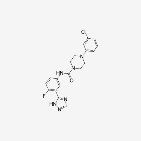 O=C(Nc1ccc(F)c(-c2ncn[nH]2)c1)N1CCN(c2cccc(Cl)c2)CC1